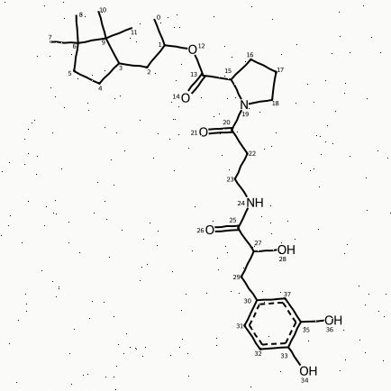 CC(CC1CCC(C)(C)C1(C)C)OC(=O)C1CCCN1C(=O)CCNC(=O)C(O)Cc1ccc(O)c(O)c1